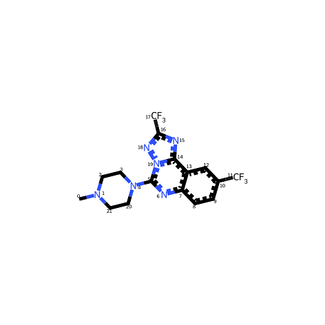 CN1CCN(c2nc3ccc(C(F)(F)F)cc3c3nc(C(F)(F)F)nn23)CC1